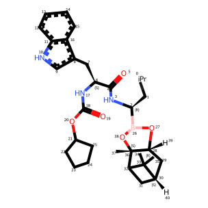 CC(C)C[C@H](NC(=O)[C@H](Cc1c[nH]c2ccccc12)NC(=O)OC1CCCC1)B1O[C@@H]2C[C@@H]3CC(C3(C)C)[C@]2(C)O1